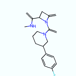 C=C(NC)C1CC(=C)N1C(=C)N1CCCC(c2ccc(F)cc2)C1